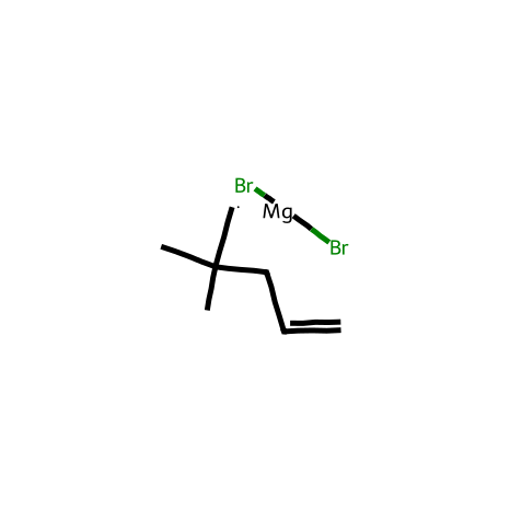 [Br][Mg][Br].[CH2]C(C)(C)CC=C